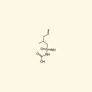 C=CCC(C)CS(=N)(=O)NC(=O)O